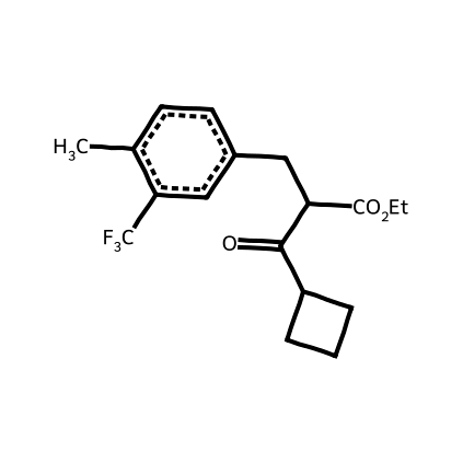 CCOC(=O)C(Cc1ccc(C)c(C(F)(F)F)c1)C(=O)C1CCC1